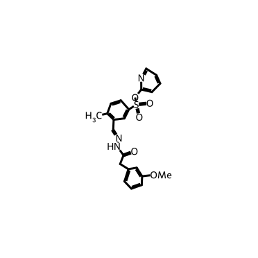 COc1cccc(CC(=O)NN=Cc2cc(S(=O)(=O)Oc3ccccn3)ccc2C)c1